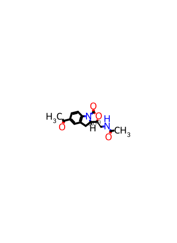 CC(=O)NC[C@@H]1OC(=O)N2c3ccc(C(C)=O)cc3C[C@@H]12